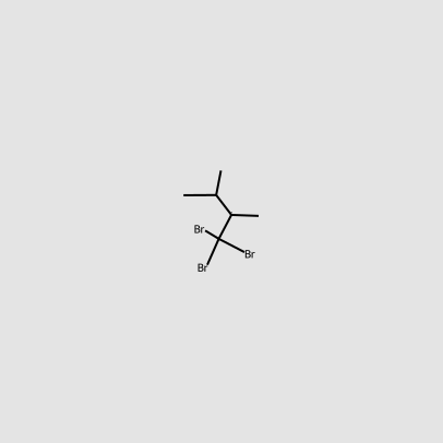 C[C](C(C)C)C(Br)(Br)Br